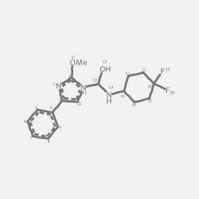 COc1nc(-c2ccccc2)cn1C(O)NC1CCC(F)(F)CC1